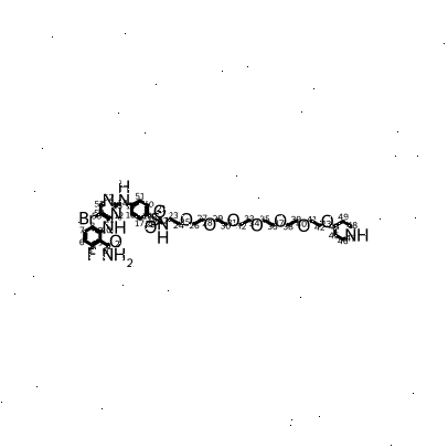 NC(=O)c1c(F)cccc1Nc1nc(Nc2ccc(S(=O)(=O)NCCOCCOCCOCCOCCOCCOCCOC3CCNCC3)cc2)ncc1Br